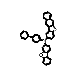 c1ccc(-c2ccc(N(c3ccc4c(c3)oc3ccccc34)c3ccc4sc5cc6ccccc6cc5c4c3)cc2)cc1